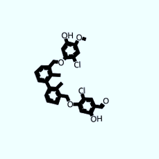 COc1cc(Cl)c(OCc2cccc(-c3cccc(COc4cc(O)c(C=O)cc4Cl)c3C)c2C)cc1O